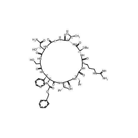 CC[C@H](C)[C@@H]1NC(=O)[C@@H](CCCNC(=N)N)NC(=O)[C@H](CC(C)C)NC(=O)[C@H]([C@H](O)C(C)C)NC(=O)[C@@H](NC(=O)OCc2ccccc2)[C@@H](c2cccnc2)NC(=O)C(CO)NC(=O)C([C@H](O)C(N)=O)NC(=O)CNC(=O)[C@H]([C@H](C)O)NC1=O